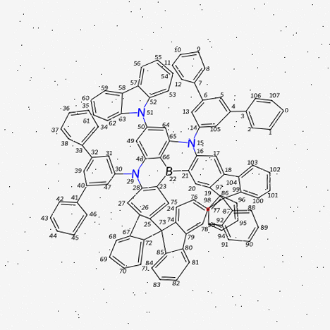 c1ccc(-c2cc(-c3ccccc3)cc(N3c4cc5c(cc4B4c6cc7c(cc6N(c6cc(-c8ccccc8)cc(-c8ccccc8)c6)c6cc(-n8c9ccccc9c9ccccc98)cc3c64)-c3ccccc3C73c4ccccc4-c4ccccc43)C3(c4ccccc4-c4ccccc43)c3ccccc3-5)c2)cc1